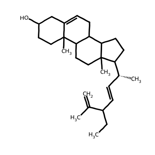 C=C(C)C(/C=C/[C@@H](C)C1CCC2C3CC=C4CC(O)CCC4(C)C3CCC21C)CC